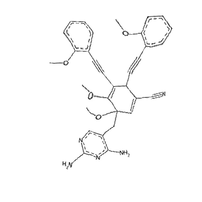 COC1=C(C#Cc2ccccc2OC)C(C#Cc2ccccc2OC)C(C#N)=CC1(Cc1cnc(N)nc1N)OC